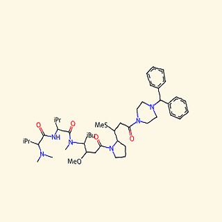 CCC(C)C(C(CC(=O)N1CCCC1C(CC(=O)N1CCN(C(c2ccccc2)c2ccccc2)CC1)SC)OC)N(C)C(=O)C(NC(=O)C(C(C)C)N(C)C)C(C)C